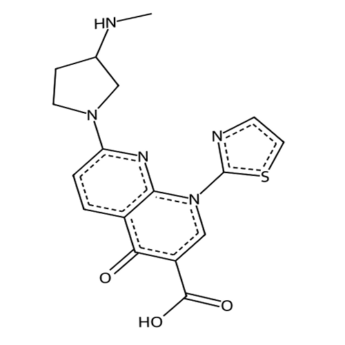 CNC1CCN(c2ccc3c(=O)c(C(=O)O)cn(-c4nccs4)c3n2)C1